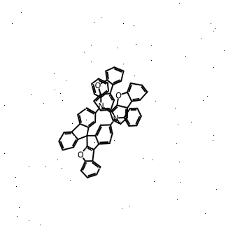 c1ccc(N(c2ccc3c(c2)C2(c4ccccc4-c4ccc(N(c5ccccc5)c5cccc6c5oc5ccccc56)cc42)c2oc4ccccc4c2-3)c2ccc3oc4ccccc4c3c2)cc1